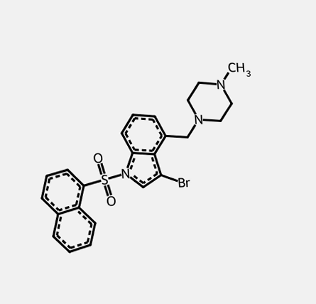 CN1CCN(Cc2cccc3c2c(Br)cn3S(=O)(=O)c2cccc3ccccc23)CC1